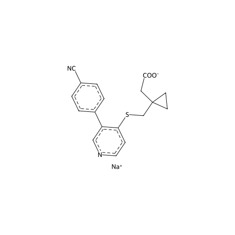 N#Cc1ccc(-c2cnccc2SCC2(CC(=O)[O-])CC2)cc1.[Na+]